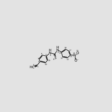 C#Cc1ccc(NC(=S)Nc2ccc([N+](=O)[O-])cc2)cc1